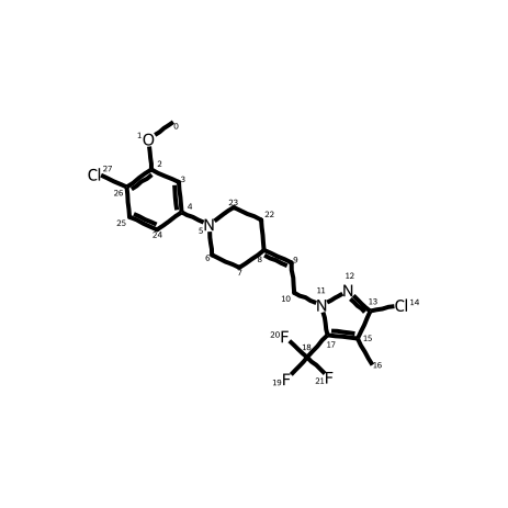 COc1cc(N2CCC(=CCn3nc(Cl)c(C)c3C(F)(F)F)CC2)ccc1Cl